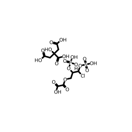 O=C(O)C(=O)OCC(OP(=O)(O)O)C(Cl)OS(=O)(=O)O.O=C(O)CC(O)(CC(=O)O)C(=O)O